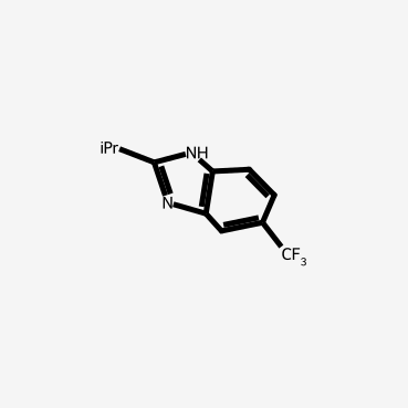 CC(C)c1nc2cc(C(F)(F)F)ccc2[nH]1